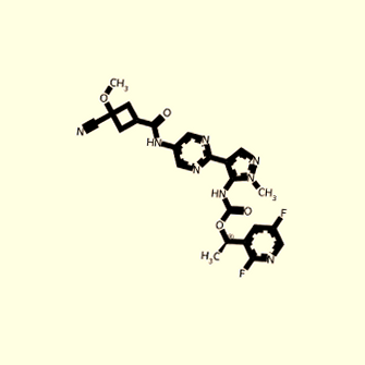 COC1(C#N)CC(C(=O)Nc2cnc(-c3cnn(C)c3NC(=O)O[C@H](C)c3cc(F)cnc3F)nc2)C1